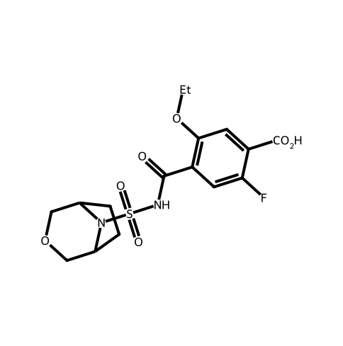 CCOc1cc(C(=O)O)c(F)cc1C(=O)NS(=O)(=O)N1C2CCC1COC2